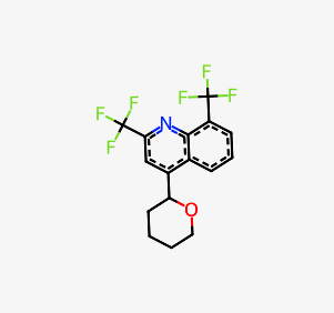 FC(F)(F)c1cc(C2CCCCO2)c2cccc(C(F)(F)F)c2n1